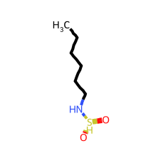 CCCCCCN[SH](=O)=O